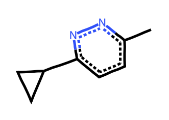 Cc1ccc(C2CC2)nn1